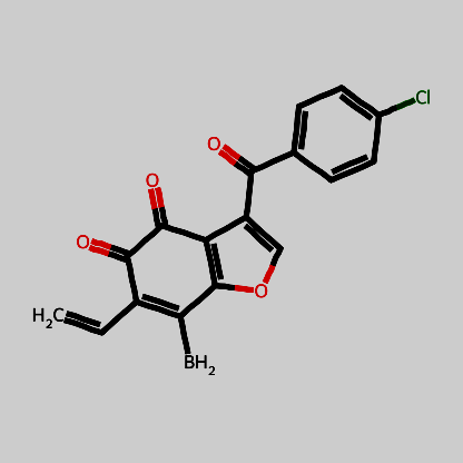 BC1=C(C=C)C(=O)C(=O)c2c(C(=O)c3ccc(Cl)cc3)coc21